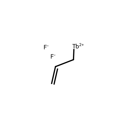 C=C[CH2][Tb+2].[F-].[F-]